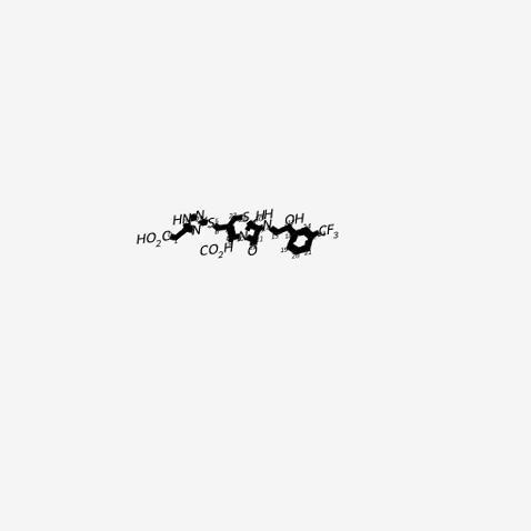 O=C(O)Cc1nc(SCC2=C(C(=O)O)N3C(=O)C(NCC(O)c4cccc(C(F)(F)F)c4)[C@@H]3SC2)n[nH]1